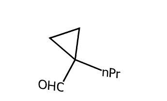 CCCC1(C=O)CC1